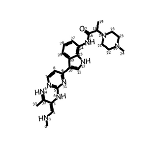 CN/C=C(/Nc1nccc(-c2c[nH]c3c(NC(=O)C(C)N4CCN(C)CC4)cccc23)n1)C(C)=N